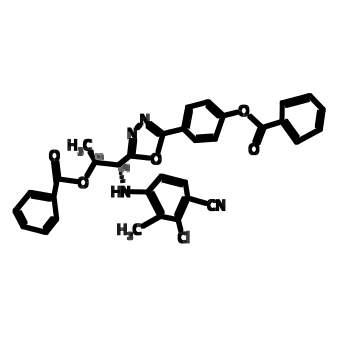 Cc1c(N[C@@H](c2nnc(-c3ccc(OC(=O)c4ccccc4)cc3)o2)[C@H](C)OC(=O)c2ccccc2)ccc(C#N)c1Cl